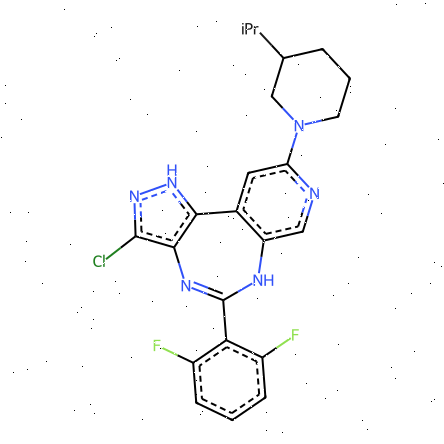 CC(C)C1CCCN(c2cc3c(cn2)NC(c2c(F)cccc2F)=Nc2c(Cl)n[nH]c2-3)C1